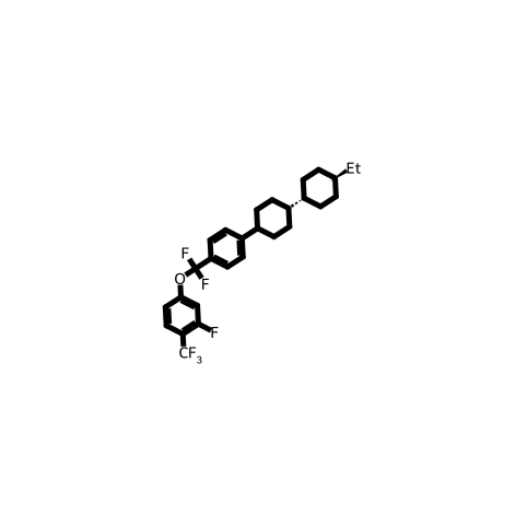 CC[C@H]1CC[C@H](C2CCC(c3ccc(C(F)(F)Oc4ccc(C(F)(F)F)c(F)c4)cc3)CC2)CC1